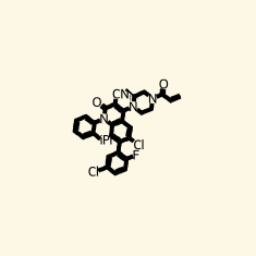 C=CC(=O)N1CCN(c2c(C#N)c(=O)n(-c3ccccc3C(C)C)c3cc(-c4cc(Cl)ccc4F)c(Cl)cc23)[C@@H](C)C1